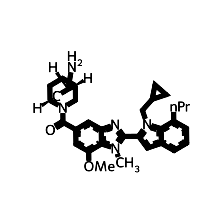 CCCc1cccc2cc(-c3nc4cc(C(=O)N5C[C@H]6CC[C@@H]5C[C@@H]6N)cc(OC)c4n3C)n(CC3CC3)c12